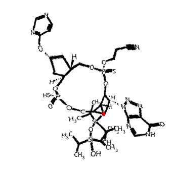 CC(C)[Si](O)(O[Si](O[C@@H]1C2CO[P@](=O)(S)O[C@H]3C[C@H](Oc4ccncn4)C[C@@H]3CO[P@](=S)(OCCC#N)O[C@H]1[C@H](n1nnc3c(=O)[nH]cnc31)C2)(C(C)C)C(C)C)C(C)C